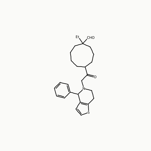 CCC1(C=O)CCCCC(C(=O)CN2CCc3sccc3C2c2ccccc2)CCC1